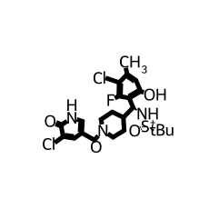 Cc1cc(O)c([C@H](N[S@@+]([O-])C(C)(C)C)C2CCN(C(=O)c3c[nH]c(=O)c(Cl)c3)CC2)c(F)c1Cl